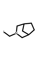 ICN1CC2CCC(C2)C1